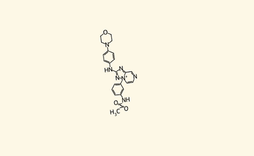 CS(=O)(=O)Nc1cccc([N+]23C=CN=CC2=NC(Nc2ccc(N4CCOCC4)cc2)=N3)c1